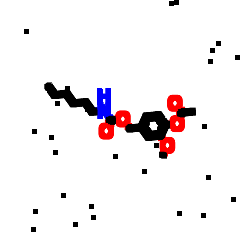 CCCCCCNC(=O)OCc1ccc(OC(C)=O)c(OC)c1